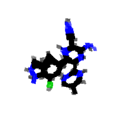 Cc1cnc(-c2nc(N)c(C#N)nc2-c2cc(Cl)c3[nH]ncc3c2)nc1